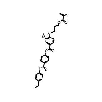 C=C(C)C(=O)OCCCOc1ccc(C(=O)Oc2ccc(C(=O)Oc3ccc(CC)cc3)cc2)cc1OC